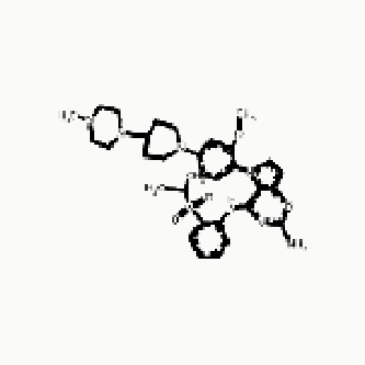 COc1cc(N2CCC(N3CCN(C)CC3)CC2)ccc1-n1ccc2nc(N)nc(Nc3ccccc3S(=O)(=O)C(C)C)c21